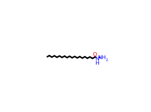 CCCCCCCCCCCCCCCCCCCC(=O)NN